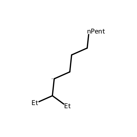 CCCCCCCC[CH]C(CC)CC